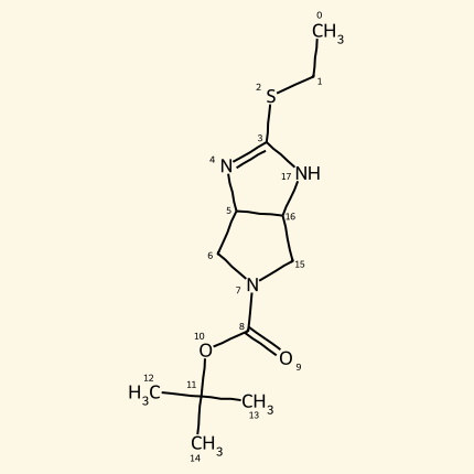 CCSC1=NC2CN(C(=O)OC(C)(C)C)CC2N1